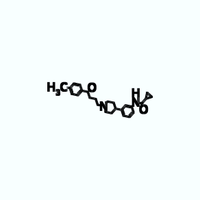 Cc1ccc(C(=O)CCCN2CCC(c3cccc(NC(=O)C4CC4)c3)CC2)cc1